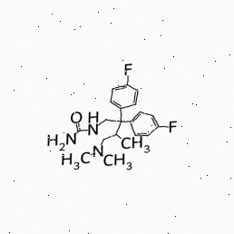 CC(CN(C)C)C(CNC(N)=O)(c1ccc(F)cc1)c1ccc(F)cc1